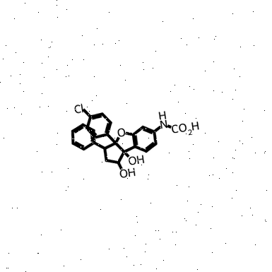 O=C(O)Nc1ccc2c(c1)OC1(c3ccc(Cl)cc3)C(c3ccccc3)CC(O)C21O